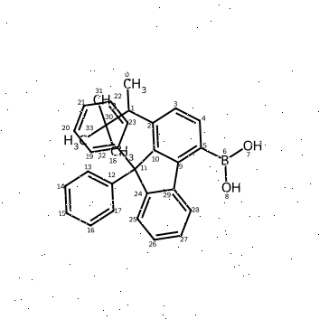 CC(c1ccc(B(O)O)c2c1C(c1ccccc1)(c1ccccc1)c1ccccc1-2)C(C)(C)C